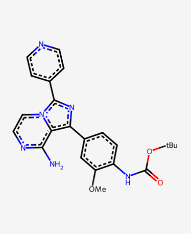 COc1cc(-c2nc(-c3ccncc3)n3ccnc(N)c23)ccc1NC(=O)OC(C)(C)C